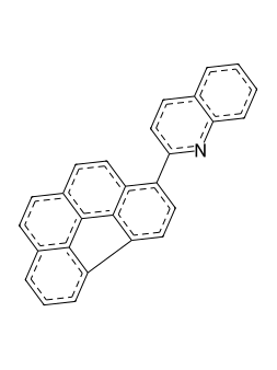 c1ccc2nc(-c3ccc4c5c3ccc3ccc6cccc-4c6c35)ccc2c1